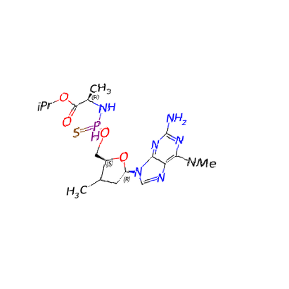 CNc1nc(N)nc2c1ncn2[C@H]1CC(C)[C@@H](CO[PH](=S)N[C@H](C)C(=O)OC(C)C)O1